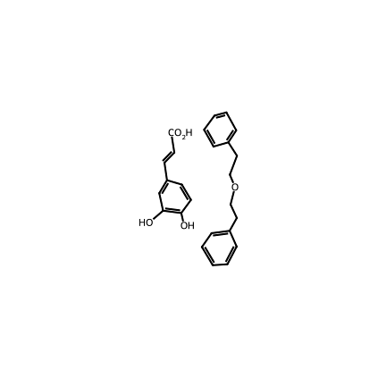 O=C(O)C=Cc1ccc(O)c(O)c1.c1ccc(CCOCCc2ccccc2)cc1